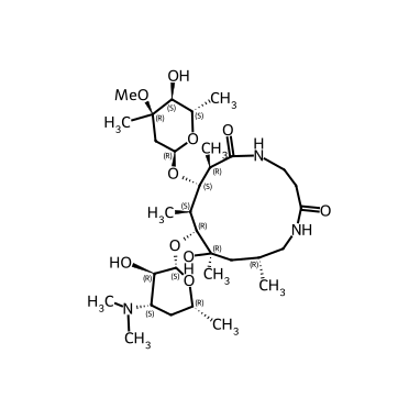 CO[C@]1(C)C[C@H](O[C@H]2[C@H](C)[C@@H](O[C@@H]3O[C@H](C)C[C@H](N(C)C)[C@H]3O)[C@](C)(O)C[C@@H](C)CNC(=O)CCNC(=O)[C@@H]2C)O[C@@H](C)[C@@H]1O